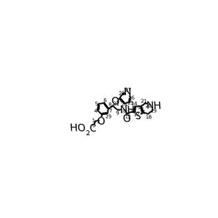 O=C(O)COc1cccc(C(CNC(=O)c2cc3c(s2)CCNC3)Oc2cccnc2)c1